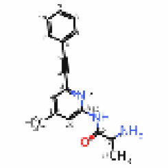 Cc1cc(C#Cc2ccccc2)nc(NC(=O)C(C)N)c1